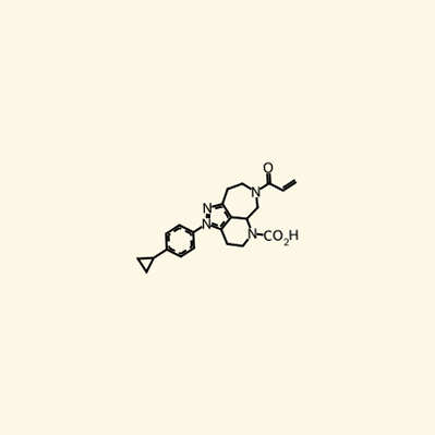 C=CC(=O)N1CCc2nn(-c3ccc(C4CC4)cc3)c3c2C(C1)N(C(=O)O)CC3